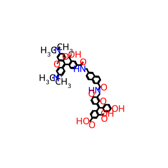 CN(C)c1ccc2c(-c3ccc(C(=O)NCc4ccc5cc(C(=O)NCc6c7oc8cc(O)ccc8c(-c8ccc(C(=O)O)cc8C(=O)O)c-7ccc6=O)ccc5c4)cc3C(=O)O)c3ccc(=[N+](C)C)cc-3oc2c1